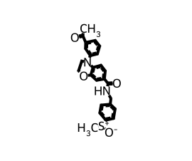 CC(=O)c1cccc(N2CCOc3cc(C(=O)NCc4ccc([S+](C)[O-])cc4)ccc32)c1